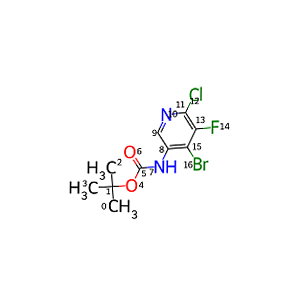 CC(C)(C)OC(=O)Nc1cnc(Cl)c(F)c1Br